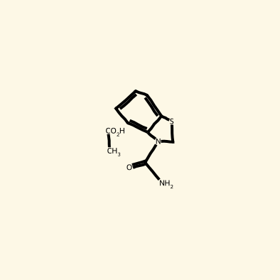 CC(=O)O.NC(=O)N1CSc2ccccc21